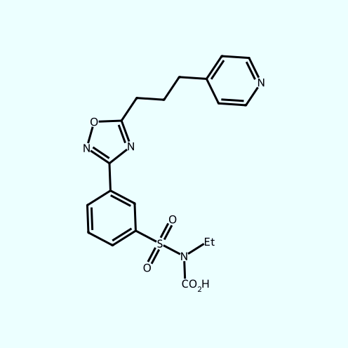 CCN(C(=O)O)S(=O)(=O)c1cccc(-c2noc(CCCc3ccncc3)n2)c1